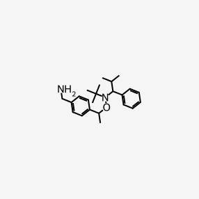 CC(ON(C(c1ccccc1)C(C)C)C(C)(C)C)c1ccc(CN)cc1